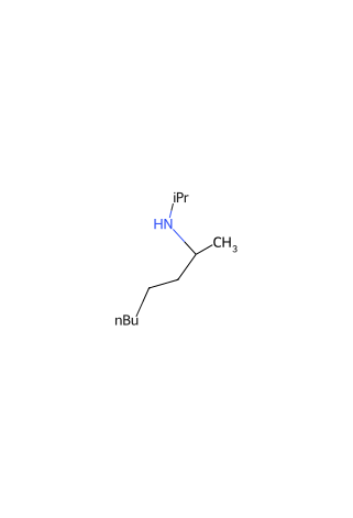 CCCCCCC(C)NC(C)C